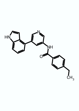 CCc1ccc(C(=O)Nc2cncc(-c3cccc4[nH]ccc34)c2)cc1